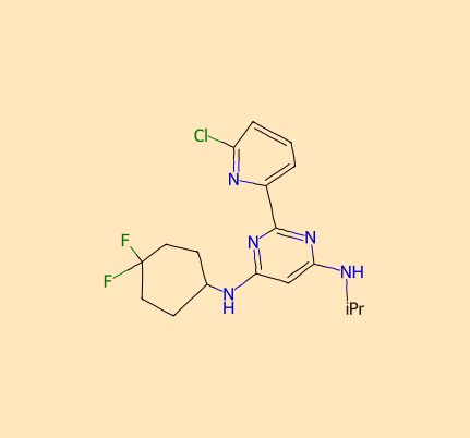 CC(C)Nc1cc(NC2CCC(F)(F)CC2)nc(-c2cccc(Cl)n2)n1